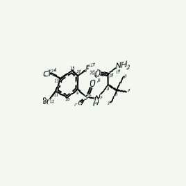 CC(C)(C)C(NS(=O)(=O)c1cc(Br)c(Cl)cc1F)C(N)=O